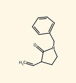 C=CC1CCN(Cc2ccccc2)C1=O